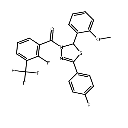 COc1ccccc1C1SC(c2ccc(F)cc2)=NN1C(=O)c1cccc(C(F)(F)F)c1F